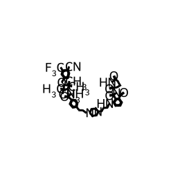 CC1(C)[C@H](NC(=O)c2ccc(CCCN3CCN(CCCNc4cccc5c4C(=O)N(C4CCC(=O)NC4=O)C5=O)CC3)cc2)C(C)(C)[C@H]1Oc1ccc(C#N)c(C(F)(F)F)c1